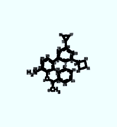 CC(Oc1cc(-c2cc(N3CCC3)nc(C3CC3)n2)cnc1N)c1ccccn1